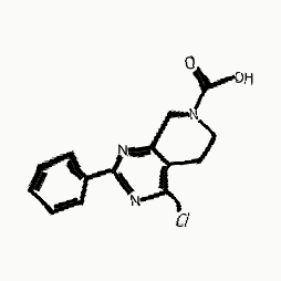 O=C(O)N1CCc2c(Cl)nc(-c3ccccc3)nc2C1